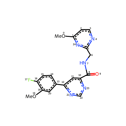 COc1ccnc(CNC(=O)c2cc(-c3ccc(F)c(OC)c3)ncn2)n1